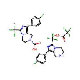 Fc1ccc(-c2nc(C(F)(F)F)n3c2CNCC3)cc1.O=C(O)C(F)(F)F.O=C(O)N1CCn2c(C(F)(F)F)nc(-c3ccc(F)cc3)c2C1